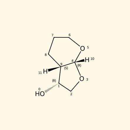 O[C@H]1CO[C@H]2OCCC[C@H]21